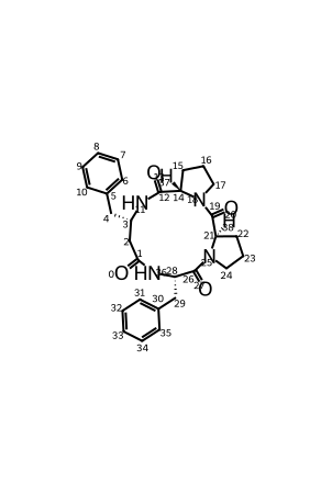 O=C1C[C@H](Cc2ccccc2)NC(=O)[C@@H]2CCCN2C(=O)[C@H]2CCCN2C(=O)[C@H](Cc2ccccc2)N1